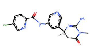 CN1C(=O)C[C@@](C)(c2cncc(NC(=O)c3ccc(Cl)cn3)c2)N=C1N